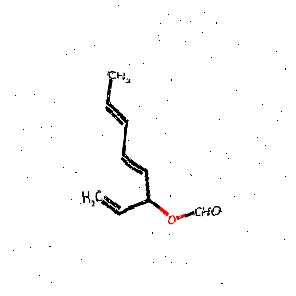 C=CC(C=CC=CC)OC=O